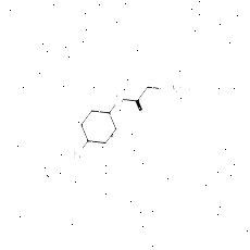 COCC(=O)NC1CCC(N)CC1.Cl